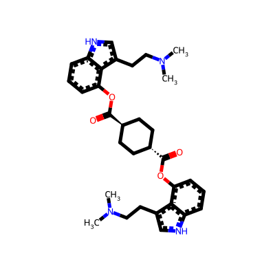 CN(C)CCc1c[nH]c2cccc(OC(=O)[C@H]3CC[C@H](C(=O)Oc4cccc5[nH]cc(CCN(C)C)c45)CC3)c12